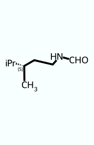 CC(C)[C@@H](C)CCNC=O